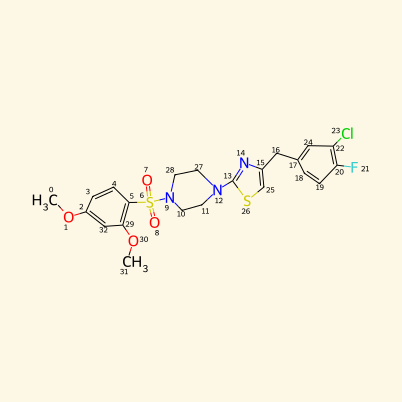 COc1ccc(S(=O)(=O)N2CCN(c3nc(Cc4ccc(F)c(Cl)c4)cs3)CC2)c(OC)c1